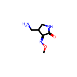 CON=C1C(=O)NCC1CN